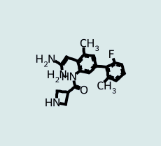 Cc1cc(-c2c(C)cccc2F)cc(NC(=O)C2CNC2)c1C=C(N)N